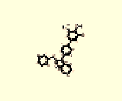 Oc1c(Br)cc(-c2ccc(-c3c(Cc4ccccc4)oc4ccccc34)cc2)cc1Br